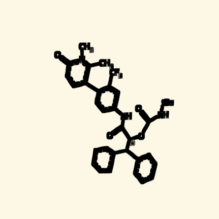 Cc1c(-c2ccc(NC(=O)[C@@H](OC(=O)NC(C)(C)C)C(c3ccccc3)c3ccccc3)cc2C(F)(F)F)ccc(=O)n1C